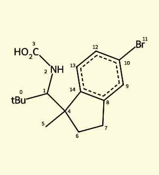 CC(C)(C)C(NC(=O)O)C1(C)CCc2cc(Br)ccc21